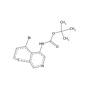 CC(C)(C)OC(=O)Nc1cncc2cccc(Br)c12